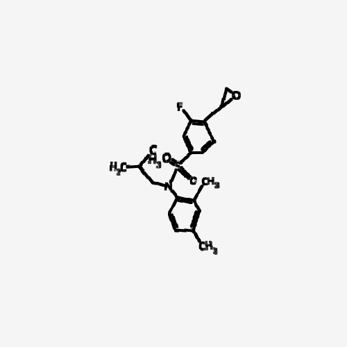 Cc1ccc(N(CC(C)C)S(=O)(=O)c2ccc(C3CO3)c(F)c2)c(C)c1